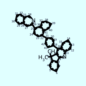 CC1(C)c2ccccc2-c2nc3ccccc3c(-c3ccc(-c4ccc(-c5cc6ccccc6cn5)c5ccccc45)cc3)c21